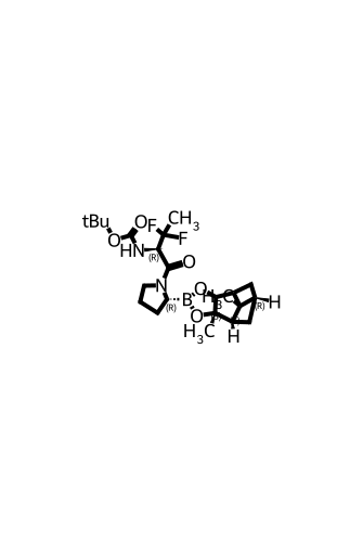 CC(C)(C)OC(=O)N[C@H](C(=O)N1CCC[C@H]1B1OC2C3C[C@@H]4C[C@@H](C34C)[C@]2(C)O1)C(C)(F)F